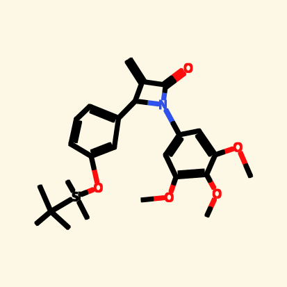 C=C1C(=O)N(c2cc(OC)c(OC)c(OC)c2)C1c1cccc(O[Si](C)(C)C(C)(C)C)c1